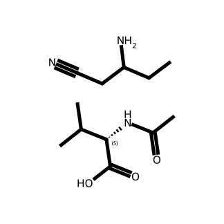 CC(=O)N[C@H](C(=O)O)C(C)C.CCC(N)CC#N